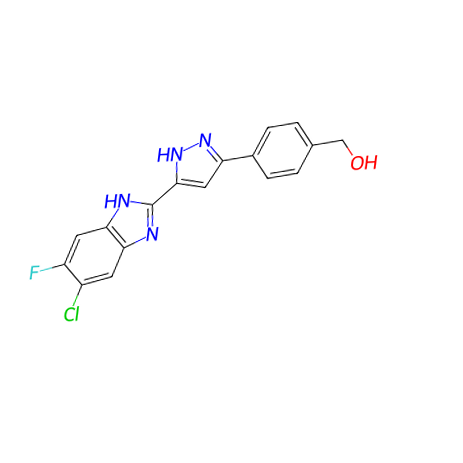 OCc1ccc(-c2cc(-c3nc4cc(Cl)c(F)cc4[nH]3)[nH]n2)cc1